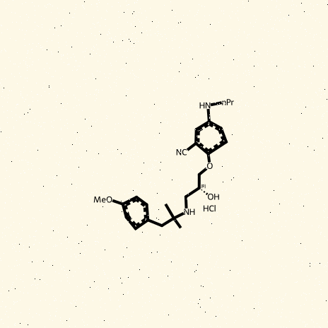 CCCNc1ccc(OC[C@H](O)CNC(C)(C)Cc2ccc(OC)cc2)c(C#N)c1.Cl